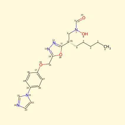 CCCCC[C@@H](CN(O)C=O)c1nnc(COc2ccc(-n3ccnc3)cc2)o1